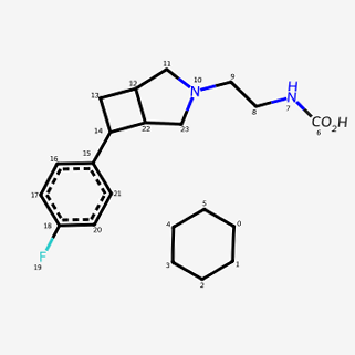 C1CCCCC1.O=C(O)NCCN1CC2CC(c3ccc(F)cc3)C2C1